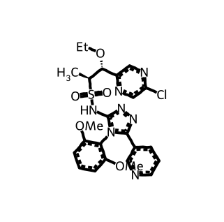 CCO[C@H](c1cnc(Cl)cn1)[C@H](C)S(=O)(=O)Nc1nnc(-c2cccnc2)n1-c1c(OC)cccc1OC